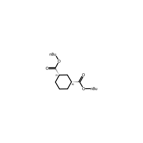 CCCCOC(=O)[C@@H]1CCC[C@H](C(=O)OCCCC)C1